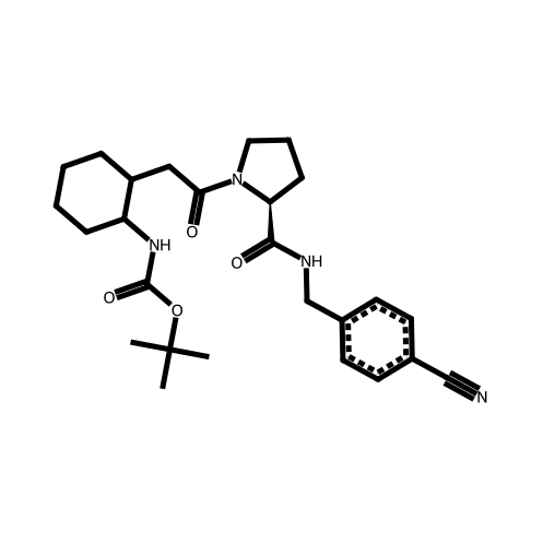 CC(C)(C)OC(=O)NC1CCCCC1CC(=O)N1CCC[C@H]1C(=O)NCc1ccc(C#N)cc1